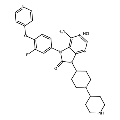 Cl.Nc1ncnc2c1n(-c1ccc(Oc3ccncc3)c(F)c1)c(=O)n2C1CCN(C2CCNCC2)CC1